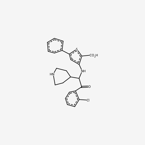 O=C(O)c1sc(-c2ccccc2)cc1NC(C(=O)c1ccccc1Cl)C1CCNCC1